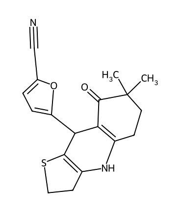 CC1(C)CCC2=C(C1=O)C(c1ccc(C#N)o1)C1=C(CCS1)N2